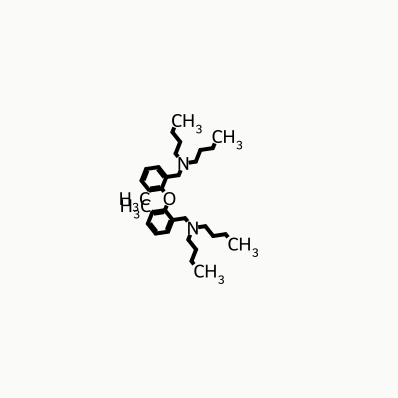 CCCCN(CCCC)Cc1cccc(C)c1Oc1c(C)cccc1CN(CCCC)CCCC